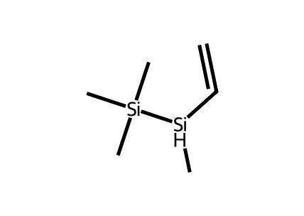 C=C[SiH](C)[Si](C)(C)C